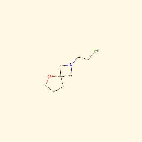 ClCCN1CC2(CCCO2)C1